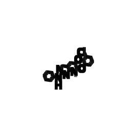 Cn1c(=O)c(Oc2ccccc2Cl)cc2cnc(Nc3ccccc3)nc21